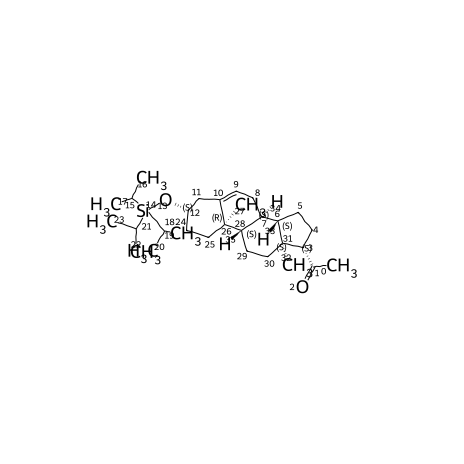 CC(=O)[C@H]1CC[C@H]2[C@@H]3CC=C4C[C@@H](O[Si](C(C)C)(C(C)C)C(C)C)CC[C@]4(C)[C@H]3CC[C@]12C